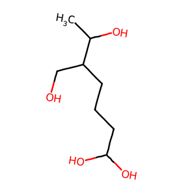 CC(O)C(CO)CCCC(O)O